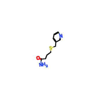 NC(=O)CCCSCc1cccnc1